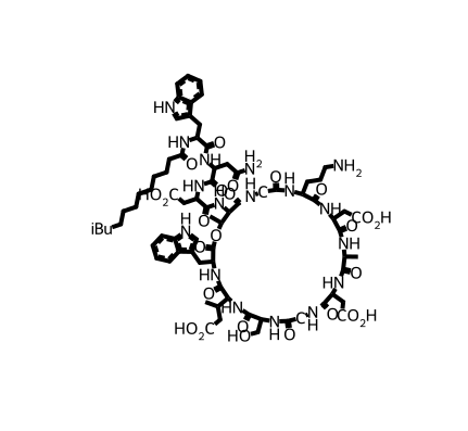 CCC(C)CCCCCCCCC(=O)NC(Cc1c[nH]c2ccccc12)C(=O)NC(CC(N)=O)C(=O)NC(CC(=O)O)C(=O)NC1C(=O)NCC(=O)NC(CCCN)C(=O)NC(CC(=O)O)C(=O)NC(C)C(=O)NC(CC(=O)O)C(=O)NCC(=O)NC(CO)C(=O)NC(C(C)CC(=O)O)C(=O)NC(Cc2c[nH]c3ccccc23)C(=O)OC1C